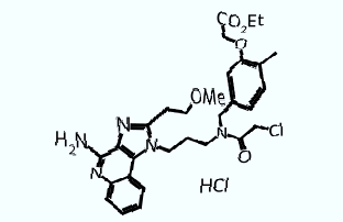 CCOC(=O)COc1cc(CN(CCCn2c(CCOC)nc3c(N)nc4ccccc4c32)C(=O)CCl)ccc1C.Cl